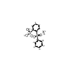 O=S(=O)([O-])c1ccccc1S(=O)(=O)c1ccccc1.[K+]